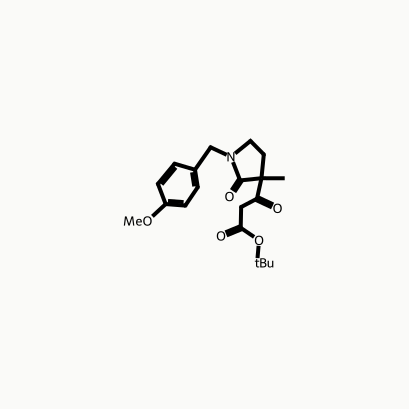 COc1ccc(CN2CCC(C)(C(=O)CC(=O)OC(C)(C)C)C2=O)cc1